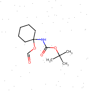 CC(C)(C)OC(=O)NC1(OC=O)CCCCC1